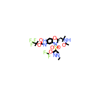 CCn1cc(S(=O)(=O)N2C[C@H](CC(C)(C)NC(C)=O)Oc3ccc(NC(=O)OC(C)(C)C(F)(F)F)cc32)c(OC(F)F)n1